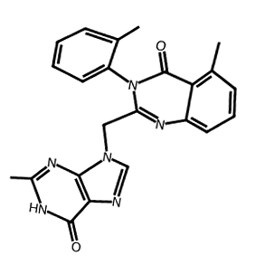 Cc1nc2c(ncn2Cc2nc3cccc(C)c3c(=O)n2-c2ccccc2C)c(=O)[nH]1